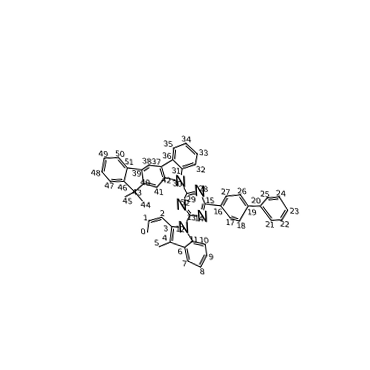 C/C=C\c1c(C)c2ccccc2n1-c1nc(-c2ccc(-c3ccccc3)cc2)nc(-n2c3ccccc3c3cc4c(cc32)C(C)(C)c2ccccc2-4)n1